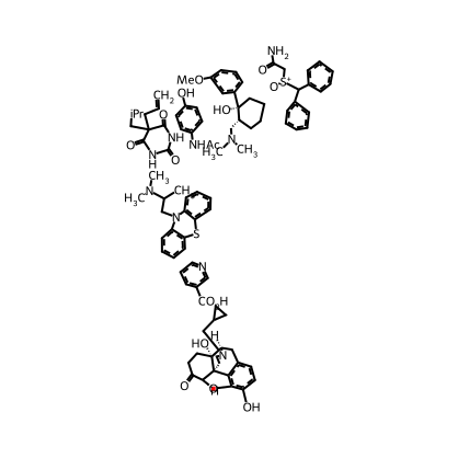 C=CCC1(CC(C)C)C(=O)NC(=O)NC1=O.CC(=O)Nc1ccc(O)cc1.CC(CN1c2ccccc2Sc2ccccc21)N(C)C.COc1cccc([C@@]2(O)CCCC[C@@H]2CN(C)C)c1.NC(=O)C[S+]([O-])C(c1ccccc1)c1ccccc1.O=C(O)c1cccnc1.O=C1CC[C@@]2(O)[C@H]3Cc4ccc(O)c5c4[C@@]2(CCN3CC2CC2)[C@H]1O5